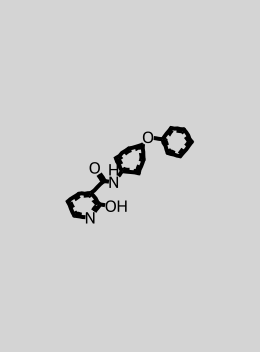 O=C(Nc1ccc(Oc2ccccc2)cc1)c1cccnc1O